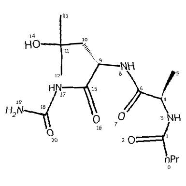 CCCC(=O)N[C@H](C)C(=O)N[C@@H](CC(C)(C)O)C(=O)NC(N)=O